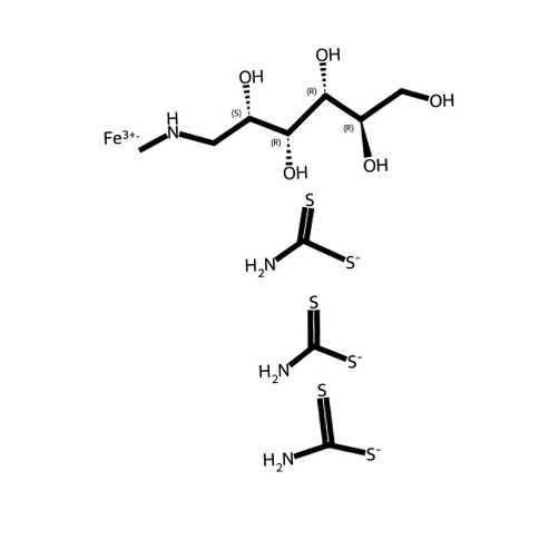 CNC[C@H](O)[C@@H](O)[C@H](O)[C@H](O)CO.NC(=S)[S-].NC(=S)[S-].NC(=S)[S-].[Fe+3]